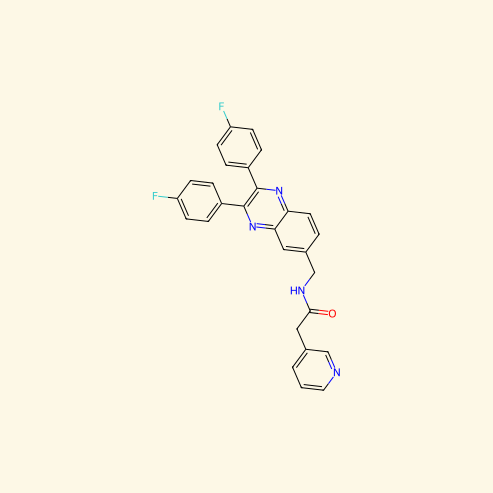 O=C(Cc1cccnc1)NCc1ccc2nc(-c3ccc(F)cc3)c(-c3ccc(F)cc3)nc2c1